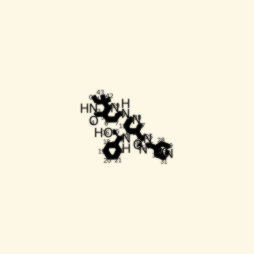 CC1NC(=O)c2ccc(Nc3cc(N[C@H](CO)c4ccccc4)c(-c4nc(C56CCN(CC5)CC6)no4)cn3)nc2C1(C)C